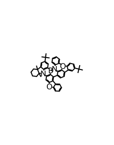 Cc1ccccc1N1B2c3cc(C(C)(C)C)cc4c3N(c3cc5oc6ccccc6c5c(c32)-c2ccc3c(oc5ccc(C(C)(C)C)cc53)c21)C1(C)CCCCC41C